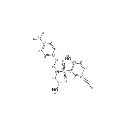 CC(C)c1ccc(CCN(CCO)S(=O)(=O)c2cc(C#N)ccc2O)cc1